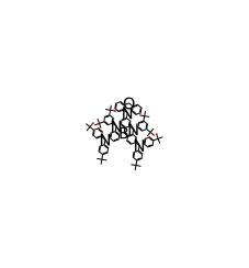 CC(C)(C)c1ccc(N(c2ccc(C(C)(C)C)cc2)c2ccc3c(c2)N(c2cc(C(C)(C)C)cc(C(C)(C)C)c2)c2cc(N4c5ccccc5Oc5ccccc54)cc4c2B3c2ccc(N(c3ccc(C(C)(C)C)cc3)c3ccc(C(C)(C)C)cc3)cc2N4c2cc(C(C)(C)C)cc(C(C)(C)C)c2)cc1